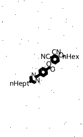 CCCCCCCc1cnc(-c2ccc(C(=O)Oc3ccc(OCCCCCC)c(C#N)c3C#N)cc2)nc1